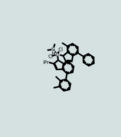 CC1=Cc2c(-c3ccccc3)ccc(C)c2[CH]1[Zr]([Cl])([Cl])([CH]1C(C(C)C)=Cc2c(-c3cccc(C)c3C)cccc21)[SiH](C)C